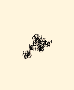 CC(C)(C)OC(=O)NCCCn1cc(-c2ccc3c(c2)CC[C@H]([C@](C)(O/N=C(\C(=O)N[C@@H]2C(=O)N(OS(=O)(=O)O)C2(C)C)c2csc(NC(=O)OC(C)(C)C)n2)C(=O)O)O3)cn1